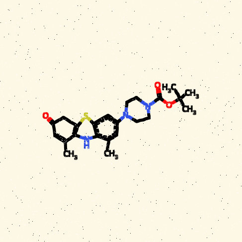 CC1=CC(=O)CC2=C1Nc1c(C)cc(N3CCN(C(=O)OC(C)(C)C)CC3)cc1S2